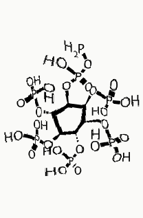 O=P(O)(O)O[C@@H]1[C@@H](OP(=O)(O)O)[C@H](OP(=O)(O)O)[C@@H](OP(=O)(O)OP)[C@@H](OP(=O)(O)O)[C@H]1OP(=O)(O)O